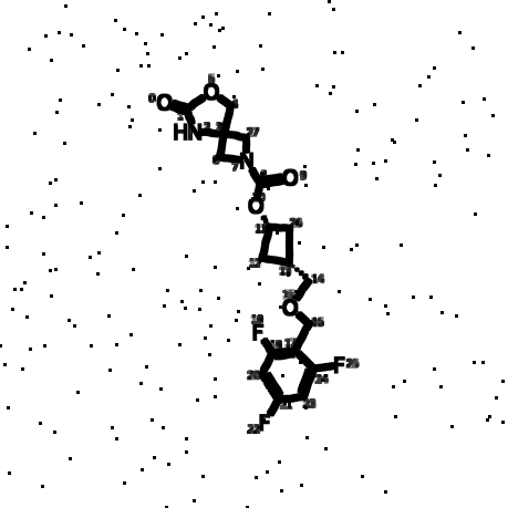 O=C1NC2(CO1)CN(C(=O)O[C@H]1C[C@@H](COCc3c(F)cc(F)cc3F)C1)C2